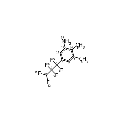 Cc1cc(C(F)(F)C(F)(F)C(F)F)cc(N)c1C